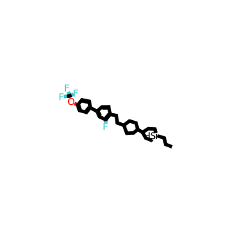 CCC[SiH]1CCC(C2CCC(CCc3ccc(-c4ccc(OC(F)(F)F)cc4)cc3F)CC2)CC1